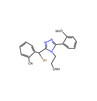 COCCn1c(-c2ccccc2OC)nnc1C(S)c1ccccc1C#N